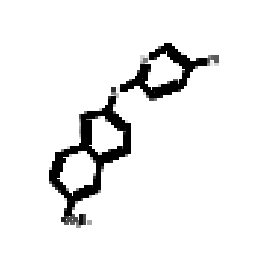 CCOC(=O)c1ccc2cc(Oc3ccc(O)cn3)ccc2c1